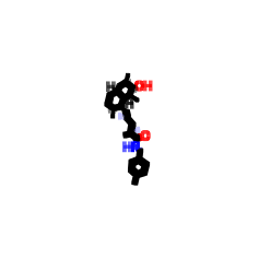 C/C(=C\C=C\[C@@H]1[C@H]2[C@H](C)[C@@H](O)[C@H](C)C[C@@H]2C=C[C@@H]1C)C(=O)NCc1ccc(C)cc1